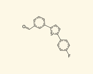 O=Cc1cccc(-c2ccc(-c3ccc(F)cc3)s2)c1